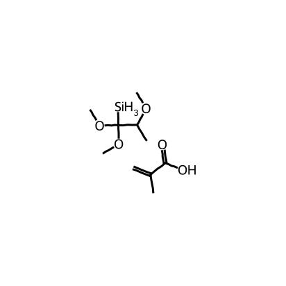 C=C(C)C(=O)O.COC(C)C([SiH3])(OC)OC